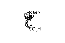 COc1ccc(F)c(-c2ncc(COc3cccc([C@@H](CC(=O)O)C4CC4)c3)nc2N2CCCCC2)c1